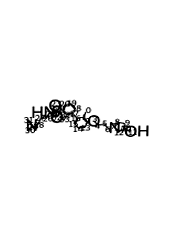 Cc1c(OCCCN2CC[C@@H](O)C2)cccc1-c1cccc(S(=O)(=O)NCCCN(C)C)c1C